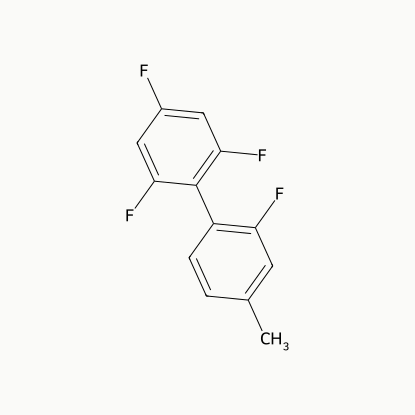 Cc1ccc(-c2c(F)cc(F)cc2F)c(F)c1